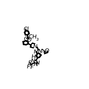 CC1(c2ccc(Cl)cc2)Oc2cccc(C3=CCN(Cc4nc5cc(-c6nnc(C(F)(F)F)[nH]6)ccc5n4C[C@@H]4CCO4)CC3)c2O1